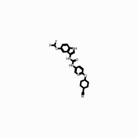 N#CC1CCC(Oc2ccc(NC(=O)Nc3c[nH]c4ccc(OC(F)F)cc34)cn2)CC1